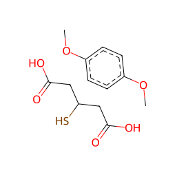 COc1ccc(OC)cc1.O=C(O)CC(S)CC(=O)O